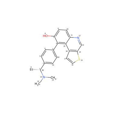 CC[C@H](c1ccc(-c2c(O)ccc3ncc4sccc4c23)cc1)N(C)C